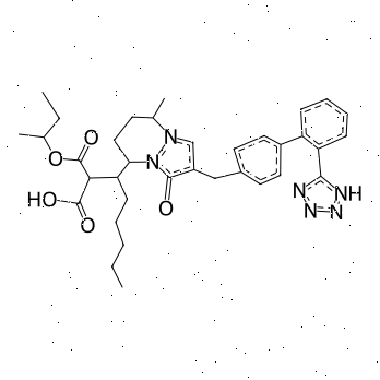 CCCCCC(C(C(=O)O)C(=O)OC(C)CC)C1CCC(C)n2cc(Cc3ccc(-c4ccccc4-c4nnn[nH]4)cc3)c(=O)n21